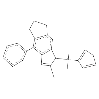 CC1=Cc2c(cc3c(c2-c2ccccc2)CCC3)C1S(C)(C)C1=CCC=C1